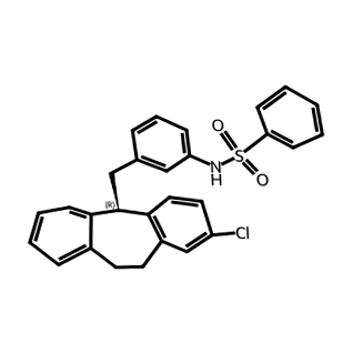 O=S(=O)(Nc1cccc(C[C@@H]2c3ccccc3CCc3cc(Cl)ccc32)c1)c1ccccc1